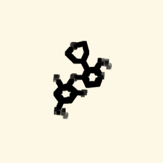 Nc1cc(F)c(Oc2ccnc(N)c2C2CCOCC2)c(F)c1